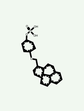 O=P(O)(O)Oc1ccc(OCc2ccc3ccc4cccc5ccc2c3c45)cc1